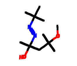 COC(C)(C)CC(C)(O)N=NC(C)(C)C